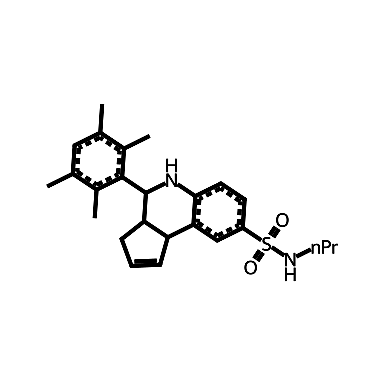 CCCNS(=O)(=O)c1ccc2c(c1)C1C=CCC1C(c1c(C)c(C)cc(C)c1C)N2